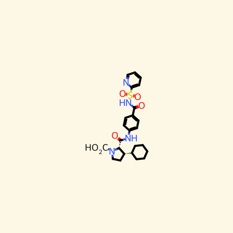 O=C(NS(=O)(=O)c1ccccn1)c1ccc(NC(=O)[C@@H]2[C@H](C3CCCCC3)CCN2C(=O)O)cc1